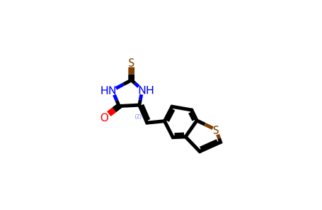 O=C1NC(=S)N/C1=C\c1ccc2sccc2c1